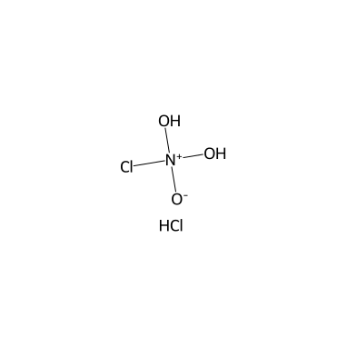 Cl.[O-][N+](O)(O)Cl